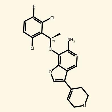 C[C@@H](Oc1c(N)ncc2c(C3=CCOCC3)coc12)c1c(Cl)ccc(F)c1Cl